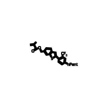 C=C(C)C(=O)OCc1ccc2cc(-c3ccc(CCCCC)cc3C(F)(F)F)sc2c1